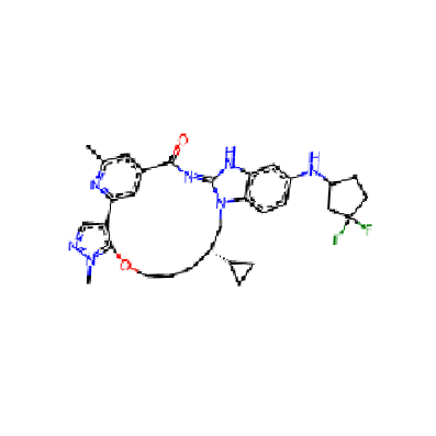 Cc1cc2cc(n1)-c1cnn(C)c1OCCC[C@@H](C1CC1)CN1/C(=N/C2=O)Nc2cc(NC3CCC(F)(F)C3)ccc21